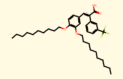 CCCCCCCCCCOc1ccc(/C=C(/C(=O)O)c2cccc(C(F)(F)F)c2)cc1OCCCCCCCCCC